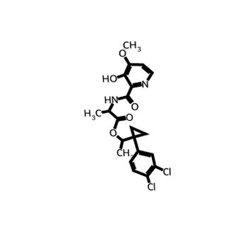 COc1ccnc(C(=O)NC(C)C(=O)OC(C)C2(c3ccc(Cl)c(Cl)c3)CC2)c1O